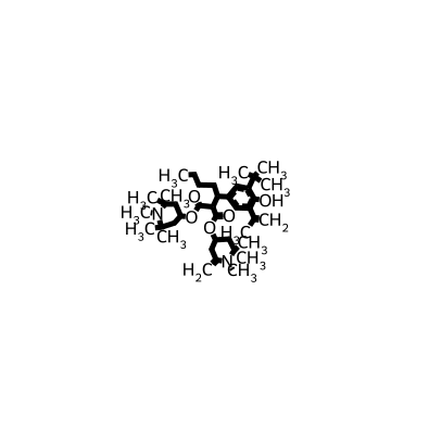 C=C(C)c1cc(C(CCCC)C(C(=O)OC2CC(=C)N(C)C(C)(C)C2)C(=O)OC2CC(C)(C)N(C)C(C)(C)C2)cc(C(C)(C)C)c1O